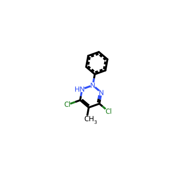 CC1=C(Cl)NN(c2ccccc2)N=C1Cl